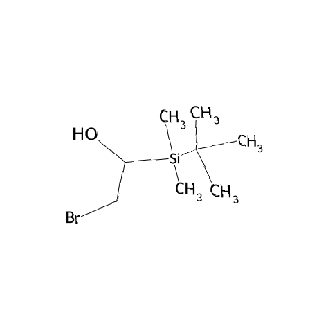 CC(C)(C)[Si](C)(C)C(O)CBr